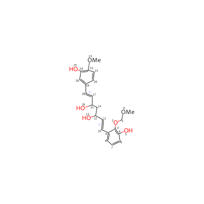 COCOc1c(O)cccc1/C=C/C(O)CC(O)/C=C/c1ccc(OC)c(O)c1